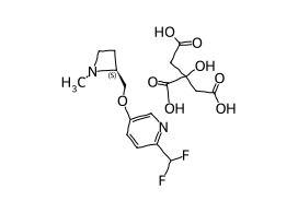 CN1CC[C@H]1COc1ccc(C(F)F)nc1.O=C(O)CC(O)(CC(=O)O)C(=O)O